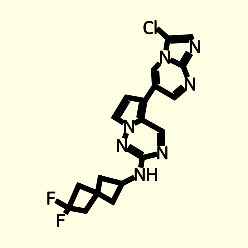 FC1(F)CC2(CC(Nc3ncc4c(-c5cnc6ncc(Cl)n6c5)ccn4n3)C2)C1